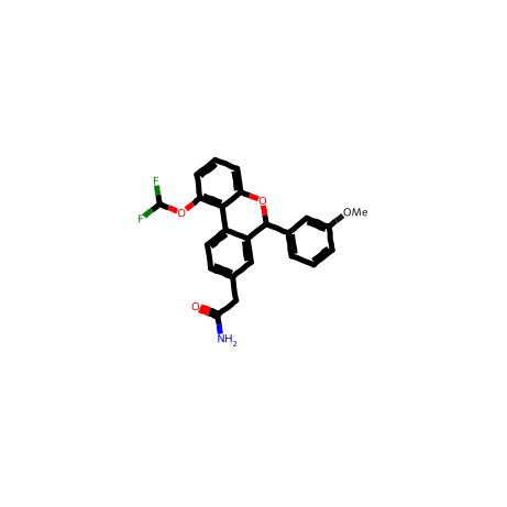 COc1cccc(C2Oc3cccc(OC(F)F)c3-c3ccc(CC(N)=O)cc32)c1